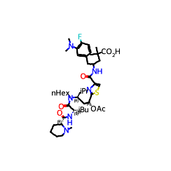 CCCCCCN(C(=O)[C@@H](NC(=O)[C@H]1CCCCN1C)[C@@H](C)CC)[C@H](C[C@@H](OC(C)=O)c1nc(C(=O)NC(Cc2ccc(F)c(N(C)C)c2)CC(C)(C)C(=O)O)cs1)C(C)C